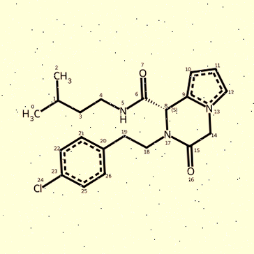 CC(C)CCNC(=O)[C@@H]1c2cccn2CC(=O)N1CCc1ccc(Cl)cc1